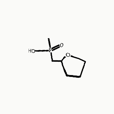 CP(=O)(O)CC1CCCO1